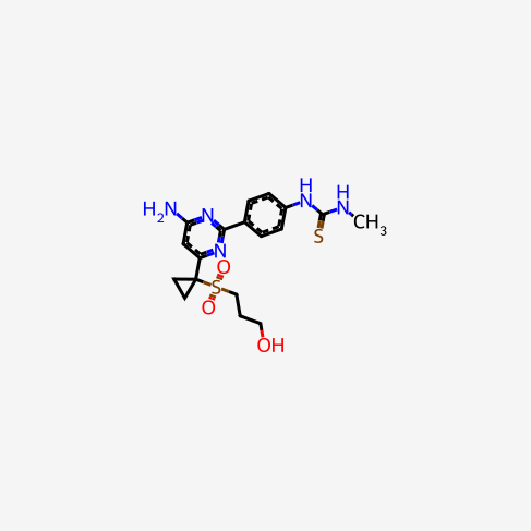 CNC(=S)Nc1ccc(-c2nc(N)cc(C3(S(=O)(=O)CCCO)CC3)n2)cc1